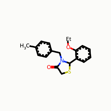 CCOc1ccccc1C1SCC(=O)N1Cc1ccc(C)cc1